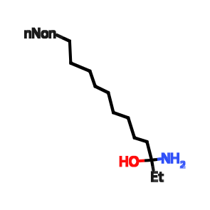 [CH2]CC(N)(O)CCCCCCCCCCCCCCCCCC